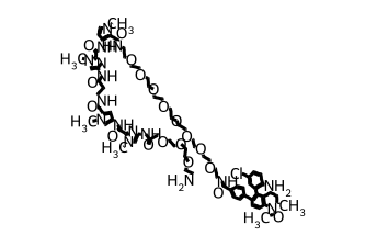 CC(=O)N1c2ccc(-c3ccc(C(=O)NCCOCCOCCOCCOCCOCCOCCOCCOCCNC(=O)c4c(NC(=O)c5nc(NC(=O)CCNC(=O)c6cc(NC(=O)c7nc(NC(=O)COCCOCCOCCN)cn7C)cn6C)cn5C)ccn4C)cc3)c(-c3cc(Cl)ccc3N)c2CC[C@@H]1C